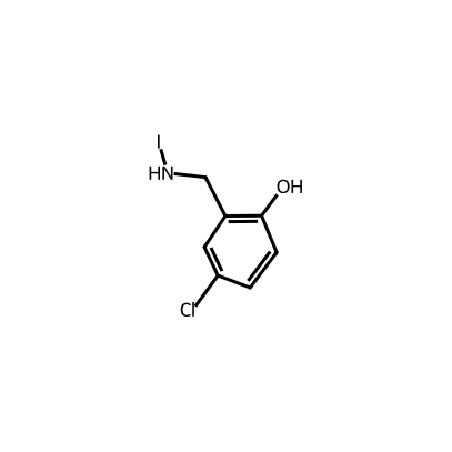 Oc1ccc(Cl)cc1CNI